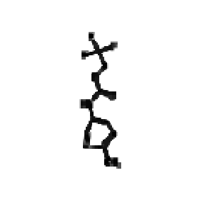 Cc1ccc(NC(=O)OCC(F)(F)F)cc1